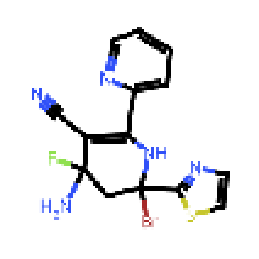 N#CC1=C(c2ccccn2)NC(Br)(c2nccs2)CC1(N)F